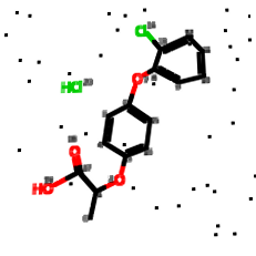 CC(Oc1ccc(Oc2ccccc2Cl)cc1)C(=O)O.Cl